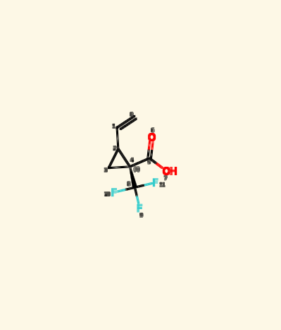 C=CC1C[C@]1(C(=O)O)C(F)(F)F